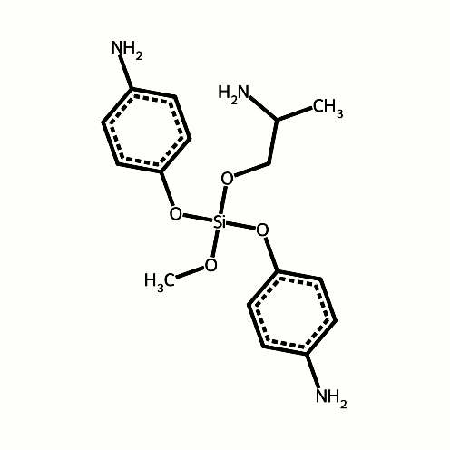 CO[Si](OCC(C)N)(Oc1ccc(N)cc1)Oc1ccc(N)cc1